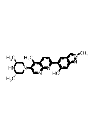 Cc1c(N2C[C@H](C)N[C@@H](C)C2)cnc2nc(-c3cc4cn(C)nc4cc3O)ccc12